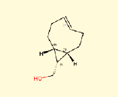 OC[C@H]1[C@H]2CC/C=C/CC[C@@H]12